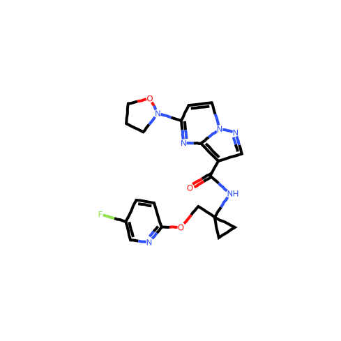 O=C(NC1(COc2ccc(F)cn2)CC1)c1cnn2ccc(N3CCCO3)nc12